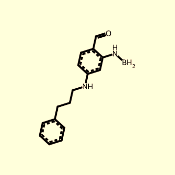 BNc1cc(NCCCc2ccccc2)ccc1C=O